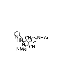 CNc1nc(NCc2ccccn2)c(C#N)c(-c2ccc(NC(C)=O)cc2)c1C#N